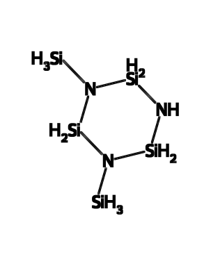 [SiH3]N1[SiH2]N[SiH2]N([SiH3])[SiH2]1